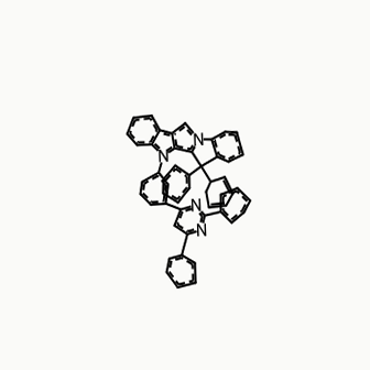 C1=CCC(C2(c3ccccc3)c3ccccc3-n3cc4c5ccccc5n(-c5cccc(-c6cc(-c7ccccc7)nc(-c7ccccc7)n6)c5)c4c32)C=C1